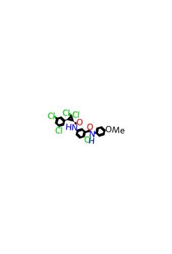 COc1ccc(NC(=O)c2cc(NC(=O)[C@@H]3[C@@H](c4cc(Cl)cc(Cl)c4)C3(Cl)Cl)ccc2Cl)cc1